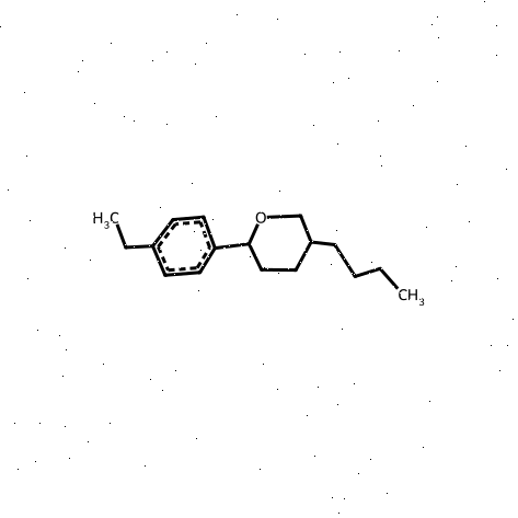 CCCCC1CCC(c2ccc(CC)cc2)OC1